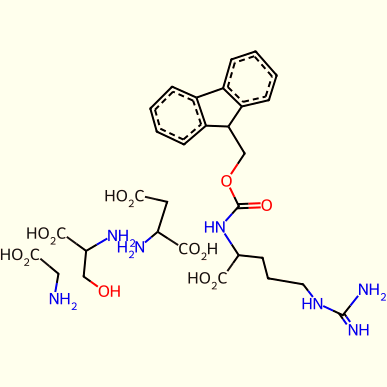 N=C(N)NCCCC(NC(=O)OCC1c2ccccc2-c2ccccc21)C(=O)O.NC(CC(=O)O)C(=O)O.NC(CO)C(=O)O.NCC(=O)O